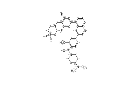 Cc1cc(-c2cnc3cccc(-c4cc(F)c(CN5CCS(=O)(=O)CC5)c(F)c4)c3n2)ccc1C(=O)N1CCC(N(C)C)CC1